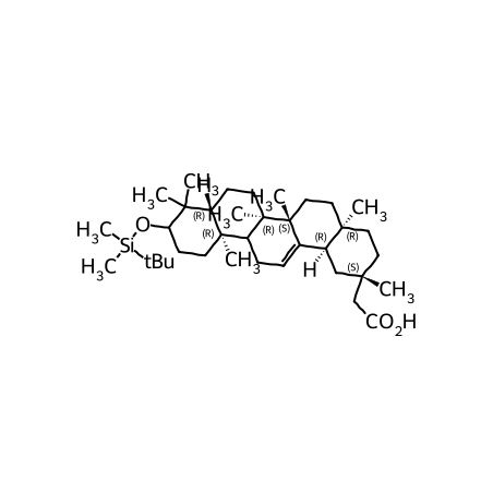 CC1(C)C(O[Si](C)(C)C(C)(C)C)CC[C@]2(C)C3CC=C4[C@@H]5C[C@@](C)(CC(=O)O)CC[C@]5(C)CC[C@@]4(C)[C@]3(C)CC[C@@H]12